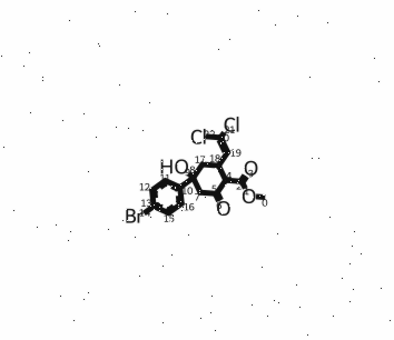 COC(=O)C1C(=O)CC(O)(c2ccc(Br)cc2)CC1C=C(Cl)Cl